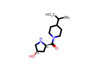 CC(C)(C)C(C(=O)O)C1CCN(C(=O)[C@H]2C[C@@H](O)CN2)CC1